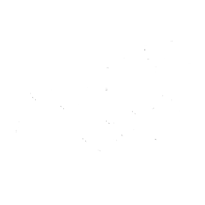 Cc1cn(-c2cc3c(n4cnnc24)N(C(=O)OC(C)(C)C)Cc2c(F)ccc4c2[C@H](CO4)CO3)cn1